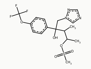 CC(OS(C)(=O)=O)C(C)C(O)(Cn1cncn1)c1ccc(OC(F)(F)F)cc1